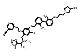 Cc1c(COc2cc(OCc3cncc(C#N)c3)c(CN(C)C(C)c3nnn[nH]3)cc2Cl)cccc1-c1cccc(OCCCN2CC[C@@H](O)C2)c1C